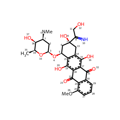 CN[C@H]1C[C@@H](O[C@H]2C[C@](O)(C(=N)CO)Cc3c(O)c4c(c(O)c32)C(=O)c2c(OC)cccc2C4=O)O[C@@H](C)[C@H]1O